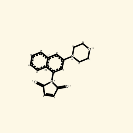 O=C1C=CC(=O)N1c1cc(N2CCOCC2)cc2ccccc12